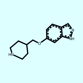 c1cc2cn[nH]c2cc1OCC1CCNCC1